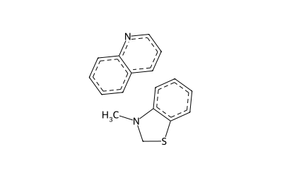 CN1CSc2ccccc21.c1ccc2ncccc2c1